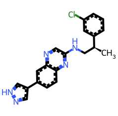 C[C@@H](CNc1cnc2cc(-c3cn[nH]c3)ccc2n1)c1cccc(Cl)c1